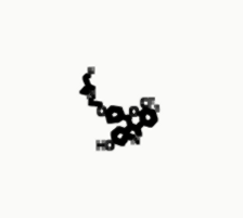 Oc1ccc2c3c(cnc2c1)-c1cccc(C(F)(F)F)c1OC3c1ccc(OCCN2CC(CF)C2)cc1